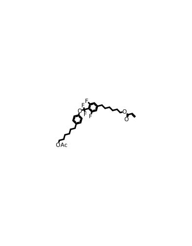 C=CC(=O)OCCCCCCc1cc(F)c(C(F)(F)Oc2ccc(CCCCCCOC(C)=O)cc2)c(F)c1